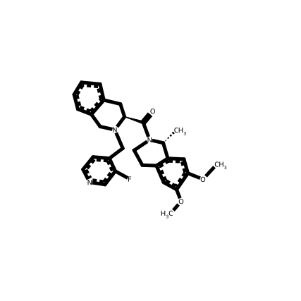 COc1cc2c(cc1OC)[C@@H](C)N(C(=O)[C@@H]1Cc3ccccc3CN1Cc1ccncc1F)CC2